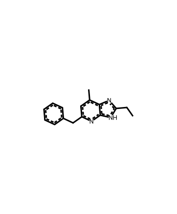 CCc1nc2c(C)cc(Cc3ccccc3)nc2[nH]1